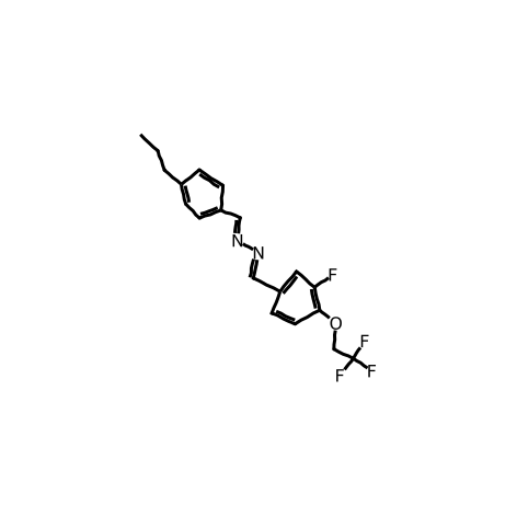 CCCc1ccc(/C=N/N=C/c2ccc(OCC(F)(F)F)c(F)c2)cc1